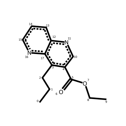 CCCc1c(C(=O)OCC)cnc2cccnc12